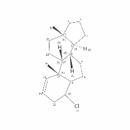 C[C@@]12CCC[C@H]1[C@@H]1CCC3C(Cl)CC=C[C@]3(C)[C@@H]1CC2